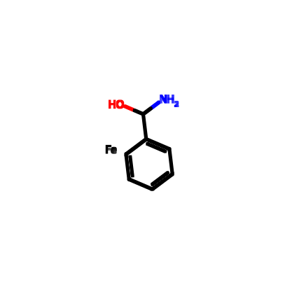 NC(O)c1ccccc1.[Fe]